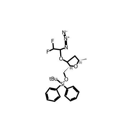 C[C@H]1CC(OC(N=[N+]=[N-])C(F)F)[C@@H](CO[Si](c2ccccc2)(c2ccccc2)C(C)(C)C)O1